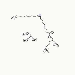 CCCCCCCC/C=C\CCCCCCCC(=O)OCC(CC)CCCC.OCC(O)CO